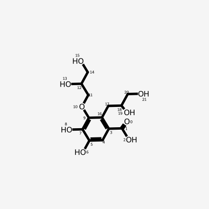 O=C(O)c1cc(O)c(O)c(OCC(O)CO)c1CC(O)CO